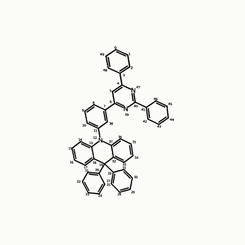 c1ccc(-c2cc(-c3cccc(N4c5ccccc5C(c5ccccc5)(c5ccccc5)c5ccccc54)c3)nc(-c3ccccc3)n2)cc1